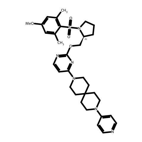 COc1cc(C)c(S(=O)(=O)N2CCC[C@H]2COc2nccc(N3CCC4(CCN(c5ccncc5)CC4)CC3)n2)c(C)c1